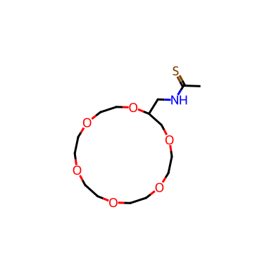 CC(=S)NCC1COCCOCCOCCOCCOCCO1